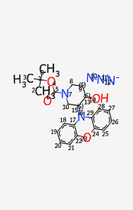 CC(C)(C)OC(=O)N1C[C@H](N=[N+]=[N-])[C@@H](O)[C@@H](N2c3ccccc3Oc3ccccc32)C1